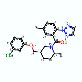 Cc1ccc(-n2nccn2)c(C(=O)N2C[C@H](COc3cccc(Cl)c3)CC[C@@H]2C)c1